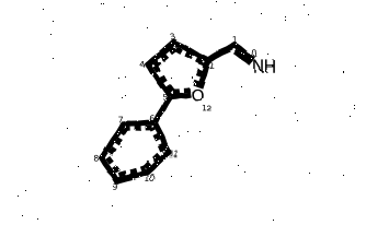 N=Cc1ccc(-c2ccccc2)o1